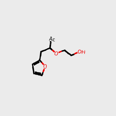 CC(=O)C(Cc1ccco1)OCCO